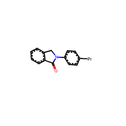 CC(C)c1ccc(N2Cc3ccccc3C2=O)cc1